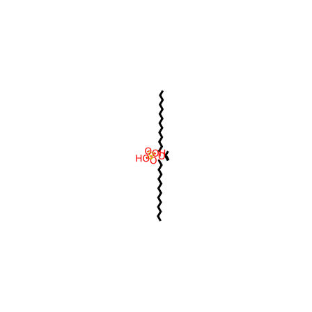 C=CC.CCCCCCCCCCCCCCOCCCCCCCCCCCCCC.O=S(=O)(O)O